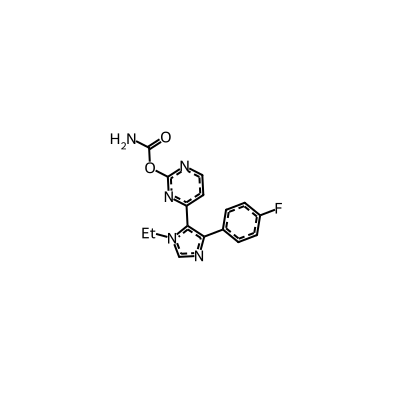 CCn1cnc(-c2ccc(F)cc2)c1-c1ccnc(OC(N)=O)n1